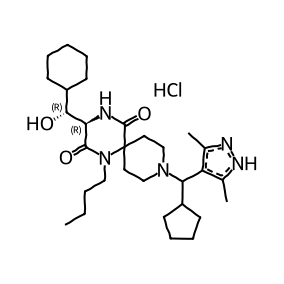 CCCCN1C(=O)[C@@H]([C@H](O)C2CCCCC2)NC(=O)C12CCN(C(c1c(C)n[nH]c1C)C1CCCC1)CC2.Cl